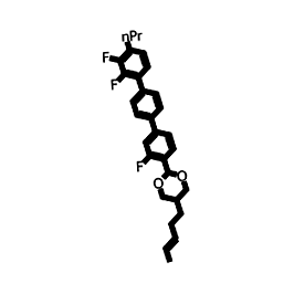 C/C=C/CCC1COC(c2ccc(-c3ccc(-c4ccc(CCC)c(F)c4F)cc3)cc2F)OC1